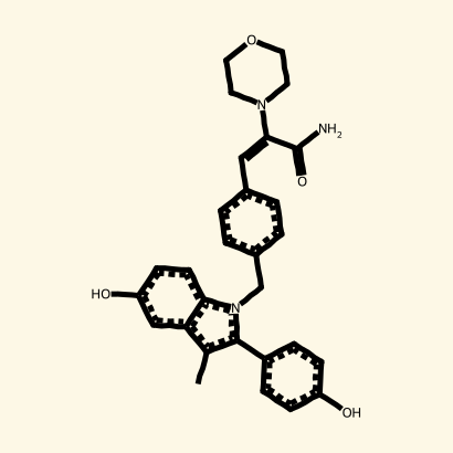 Cc1c(-c2ccc(O)cc2)n(Cc2ccc(/C=C(\C(N)=O)N3CCOCC3)cc2)c2ccc(O)cc12